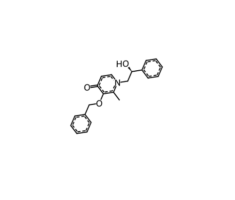 Cc1c(OCc2ccccc2)c(=O)ccn1C[C@@H](O)c1ccccc1